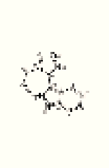 C1=Cn2nc3ccncc3c2-c2nocc2C1